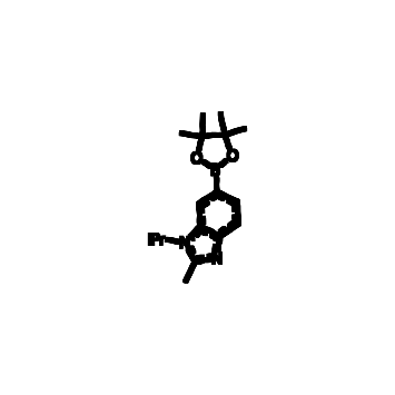 Cc1nc2ccc(B3OC(C)(C)C(C)(C)O3)cc2n1C(C)C